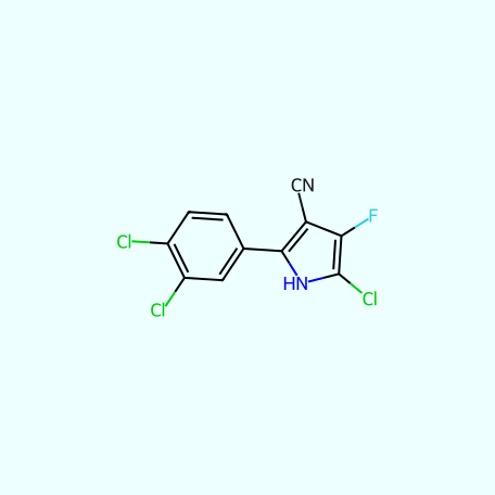 N#Cc1c(-c2ccc(Cl)c(Cl)c2)[nH]c(Cl)c1F